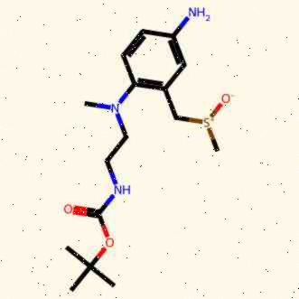 CN(CCNC(=O)OC(C)(C)C)c1ccc(N)cc1C[S+](C)[O-]